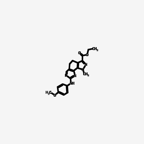 CCOC(=O)c1nn(C)c2c1CCc1cnc(Nc3ccc(OC)cc3)nc1-2